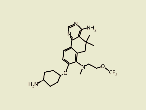 CN(CCOC(F)(F)F)c1c(O[C@H]2CC[C@H](N)CC2)ccc2c1CC(C)(C)c1c(N)ncnc1-2